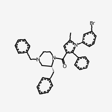 Cc1cc(C(=O)N2CCN(Cc3ccccc3)C[C@H]2Cc2ccccc2)c(-c2ccccc2)n1-c1cccc(Br)c1